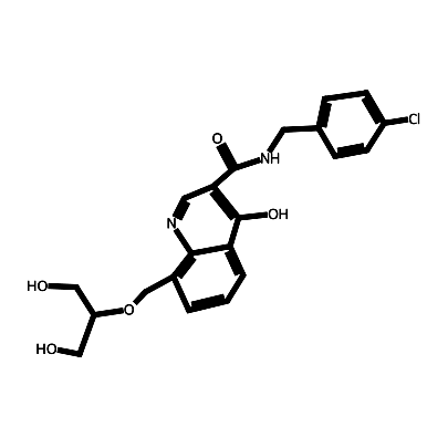 O=C(NCc1ccc(Cl)cc1)c1cnc2c(COC(CO)CO)cccc2c1O